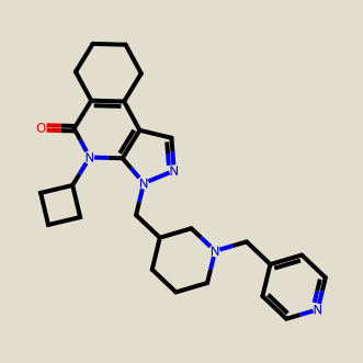 O=c1c2c(c3cnn(CC4CCCN(Cc5ccncc5)C4)c3n1C1CCC1)CCCC2